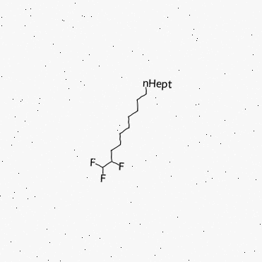 [CH2]CCCCCCCCCCCCCCC(F)C(F)F